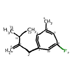 C=C(Cc1cc(C)cc(F)c1)C(C)C